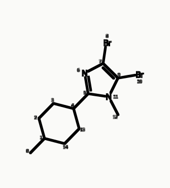 CC1CCC(c2nc(Br)c(Br)n2C)CC1